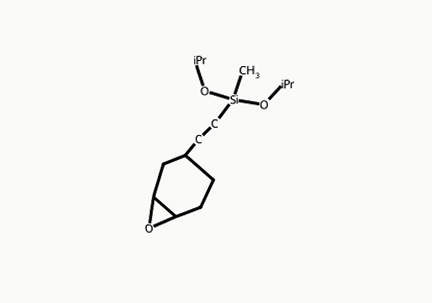 CC(C)O[Si](C)(CCC1CCC2OC2C1)OC(C)C